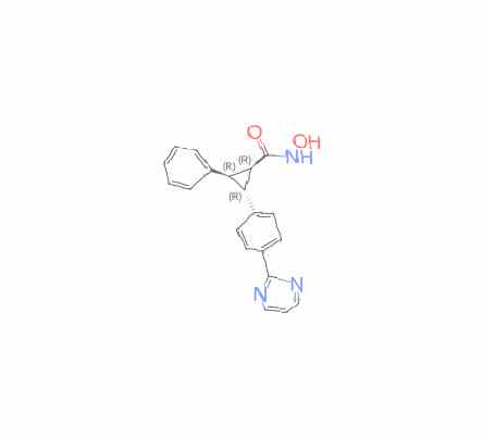 O=C(NO)[C@@H]1[C@H](c2ccccc2)[C@H]1c1ccc(-c2ncccn2)cc1